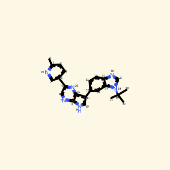 Cc1ccc(-c2cnc3[nH]cc(-c4ccc5ncn(C(C)(C)C)c5c4)c3n2)cn1